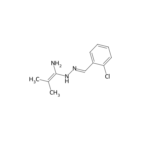 CC(C)=C(N)N/N=C/c1ccccc1Cl